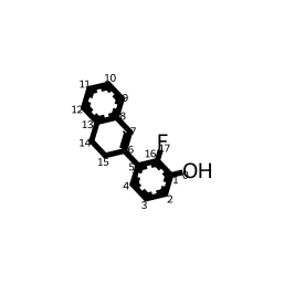 Oc1cccc(C2=[C]c3ccccc3CC2)c1F